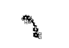 O=C1CCc2cnc(OCCCCN3CCN(c4cccc(Cl)c4Cl)CC3)c(Br)c2N1